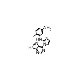 Cc1ccc(N)cc1Nc1nccn1-c1ncnc2[nH]cnc12